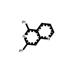 CC(C)c1cc2ncccc2c(C(C)C)n1